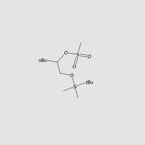 CCCCC(CO[Si](C)(C)C(C)(C)C)OS(C)(=O)=O